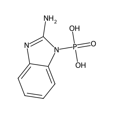 Nc1nc2ccccc2n1P(=O)(O)O